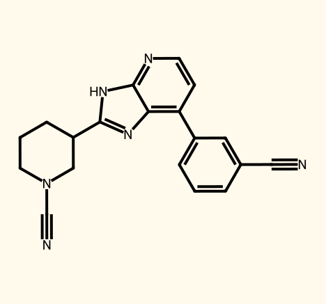 N#Cc1cccc(-c2ccnc3[nH]c(C4CCCN(C#N)C4)nc23)c1